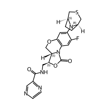 O=C(NC[C@@H]1OC(=O)N2c3cc(F)c(N4[C@@H]5CC[C@H]4CSC5)cc3OC[C@@H]12)c1cnccn1